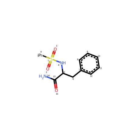 CC(C)S(=O)(=O)NC(Cc1ccccc1)C(N)=O